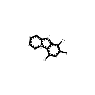 Cc1cc(O)c2c(nc3ccccn32)c1C#N